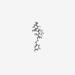 O=C(NCCCc1ccccc1)C1CCCc2c1[nH]c1ccc(Br)cc21